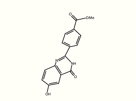 COC(=O)c1ccc(-c2nc3ccc(O)cc3c(=O)[nH]2)cc1